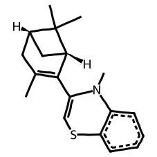 CC1=C(C2=CSc3ccccc3N2C)[C@@H]2C[C@H](C1)C2(C)C